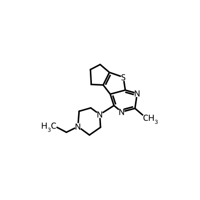 CCN1CCN(c2nc(C)nc3sc4c(c23)CCC4)CC1